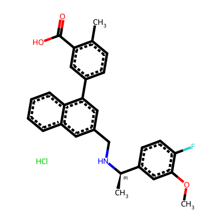 COc1cc([C@@H](C)NCc2cc(-c3ccc(C)c(C(=O)O)c3)c3ccccc3c2)ccc1F.Cl